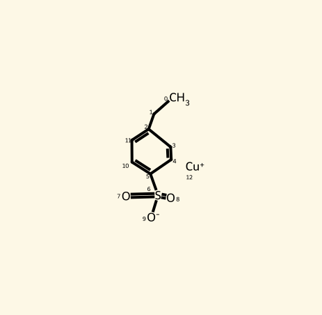 CCc1ccc(S(=O)(=O)[O-])cc1.[Cu+]